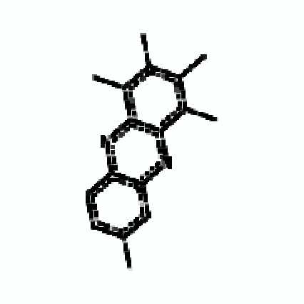 Cc1ccc2nc3c(C)c(C)c(C)c(C)c3nc2c1